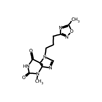 Cc1nc(CCCn2cnc3c2c(=O)[nH]c(=O)n3C)no1